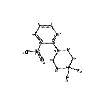 O=[N+]([O-])c1cccnc1N1CCC(F)(F)CC1